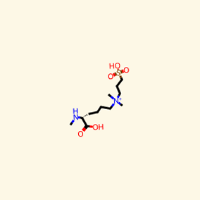 CN[C@H](CCCC[N+](C)(C)CCCS(=O)(=O)O)C(=O)O